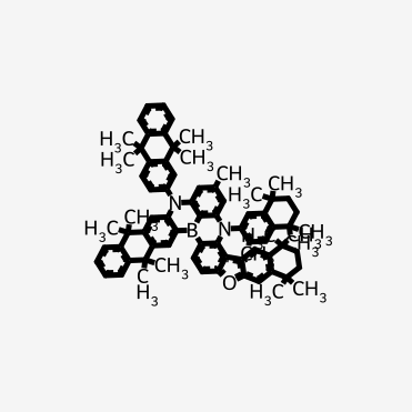 Cc1cc2c3c(c1)N(c1cc4c(cc1C)C(C)(C)CCC4(C)C)c1c(ccc4oc5cc6c(cc5c14)C(C)(C)CCC6(C)C)B3c1cc3c(cc1N2c1ccc2c(c1)C(C)(C)c1ccccc1C2(C)C)C(C)(C)c1ccccc1C3(C)C